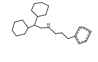 c1ccc(CCCNCC(C2CCCCC2)C2CCCCC2)cc1